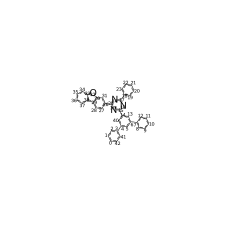 c1ccc(-c2cc(-c3ccccc3)cc(-c3nc(-c4ccccc4)nc(-c4ccc5c(c4)oc4ccccc45)n3)c2)cc1